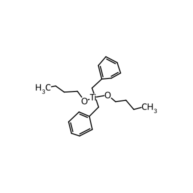 CCCC[O][Ti]([CH2]c1ccccc1)([CH2]c1ccccc1)[O]CCCC